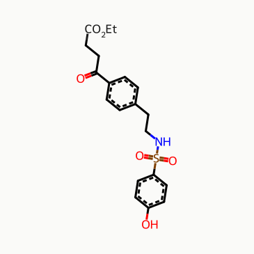 CCOC(=O)CCC(=O)c1ccc(CCNS(=O)(=O)c2ccc(O)cc2)cc1